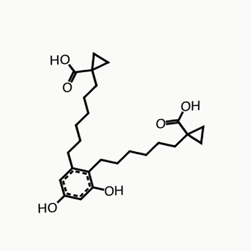 O=C(O)C1(CCCCCCc2cc(O)cc(O)c2CCCCCCC2(C(=O)O)CC2)CC1